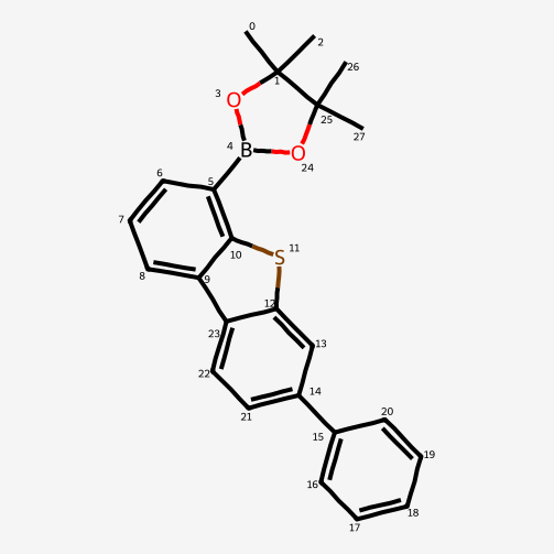 CC1(C)OB(c2cccc3c2sc2cc(-c4ccccc4)ccc23)OC1(C)C